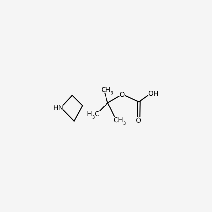 C1CNC1.CC(C)(C)OC(=O)O